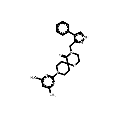 Cc1cc(C)nc(N2CCC3(CC2)OCCN(Cc2n[nH]cc2-c2ccccc2)C3=O)n1